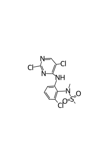 CN(c1c(Cl)cccc1Nc1nc(Cl)ncc1Cl)S(C)(=O)=O